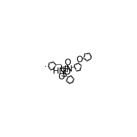 O=C(Nc1cccc(Oc2ccccc2)c1)C(Cc1cc[c]cc1)NS(=O)(=O)c1ccccc1